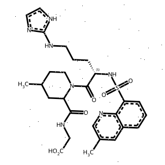 Cc1cnc2c(S(=O)(=O)N[C@@H](CCCNc3ncc[nH]3)C(=O)N3CCC(C)CC3C(=O)NCC(=O)O)cccc2c1